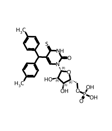 Cc1ccc(C(c2ccc(C)cc2)c2cn([C@@H]3O[C@H](COP(=O)(O)O)[C@@H](O)[C@H]3O)c(=O)[nH]c2=S)cc1